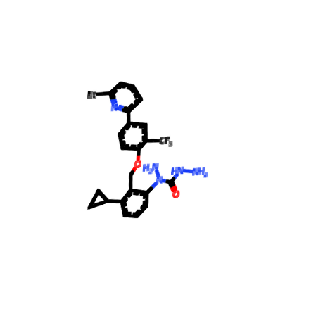 CCc1cccc(-c2ccc(OCc3c(C4CC4)cccc3N(N)C(=O)NN)c(C(F)(F)F)c2)n1